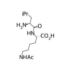 CC(=O)NCCCC[C@H](NC(=O)[C@@H](N)CC(C)C)C(=O)O